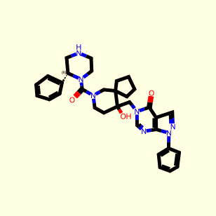 O=C(N1CCC(O)(Cn2cnc3c(cnn3-c3ccccc3)c2=O)C2(CCCC2)C1)N1CCNC[C@H]1c1ccccc1